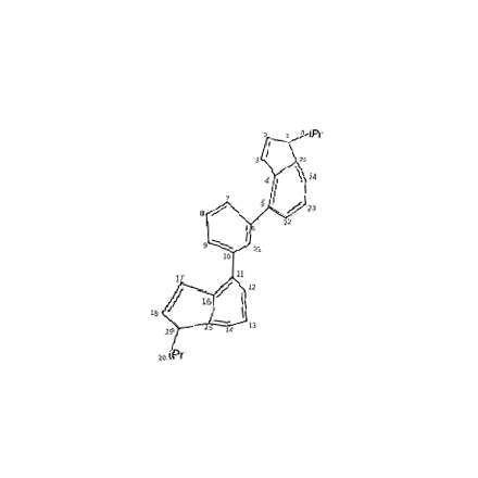 CC(C)C1C=Cc2c(-c3cccc(-c4cccc5c4C=CC5C(C)C)c3)cccc21